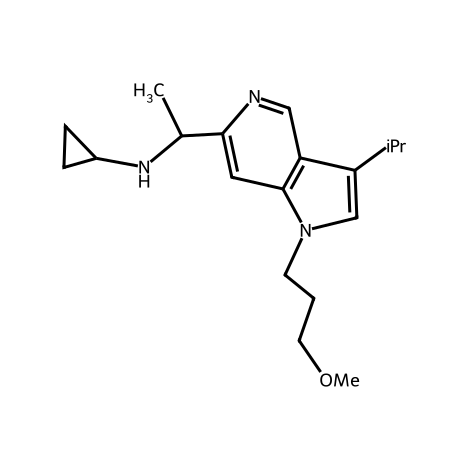 COCCCn1cc(C(C)C)c2cnc(C(C)NC3CC3)cc21